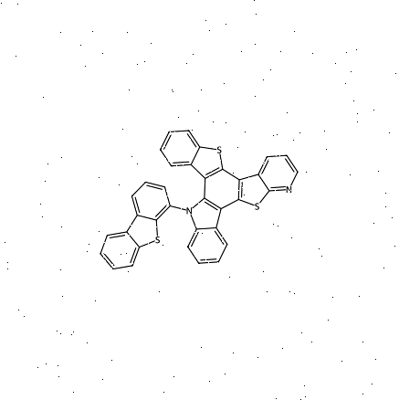 c1ccc2c(c1)sc1c(-n3c4ccccc4c4c5sc6ncccc6c5c5sc6ccccc6c5c43)cccc12